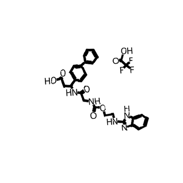 O=C(O)C(F)(F)F.O=C(O)CC(NC(=O)CNC(=O)OCCNc1nc2ccccc2[nH]1)c1ccc(-c2ccccc2)cc1